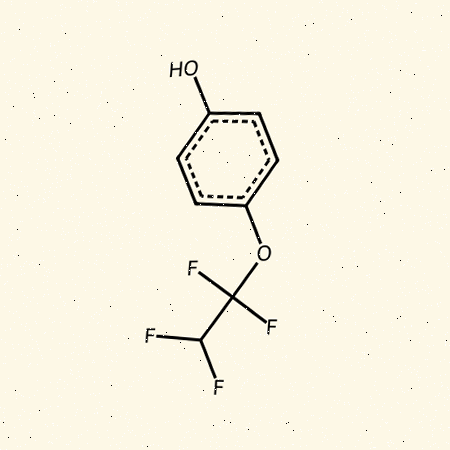 Oc1ccc(OC(F)(F)C(F)F)cc1